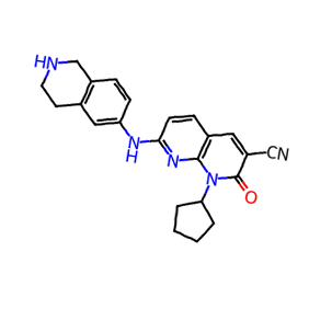 N#Cc1cc2ccc(Nc3ccc4c(c3)CCNC4)nc2n(C2CCCC2)c1=O